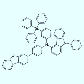 c1ccc(-n2c3ccccc3c3c(N(c4ccc(-c5ccc6c(c5)oc5ccccc56)cc4)c4cccc([Si](c5ccccc5)(c5ccccc5)c5ccccc5)c4)cccc32)cc1